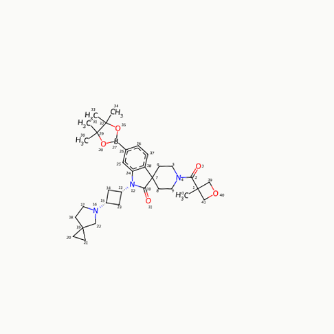 CC1(C(=O)N2CCC3(CC2)C(=O)N([C@H]2C[C@@H](N4CCC5(CC5)C4)C2)c2cc(B4OC(C)(C)C(C)(C)O4)ccc23)COC1